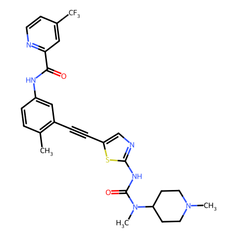 Cc1ccc(NC(=O)c2cc(C(F)(F)F)ccn2)cc1C#Cc1cnc(NC(=O)N(C)C2CCN(C)CC2)s1